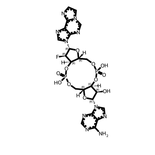 Nc1ncnc2c1ncn2[C@@H]1O[C@@H]2COP(=O)(O)O[C@H]3[C@@H](F)[C@H](n4cnc5c4ncn4ccnc54)O[C@@H]3COP(=O)(O)O[C@H]2[C@H]1O